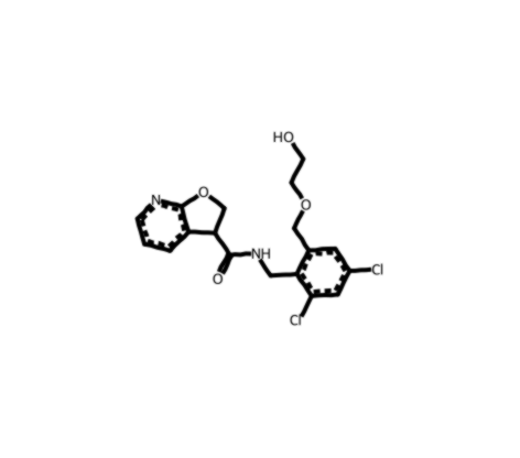 O=C(NCc1c(Cl)cc(Cl)cc1COCCO)C1COc2ncccc21